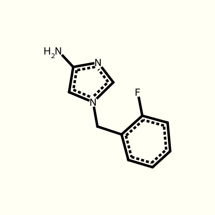 Nc1cn(Cc2ccccc2F)cn1